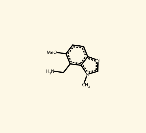 COc1ccc2ncn(C)c2c1CN